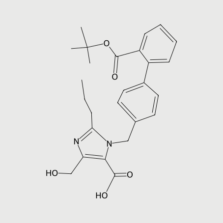 CCCc1nc(CO)c(C(=O)O)n1Cc1ccc(-c2ccccc2C(=O)OC(C)(C)C)cc1